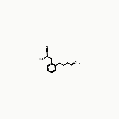 C=CCCCc1ccccc1CC(N)C#N